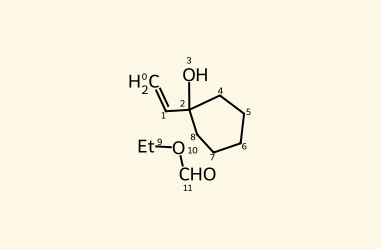 C=CC1(O)CCCCC1.CCOC=O